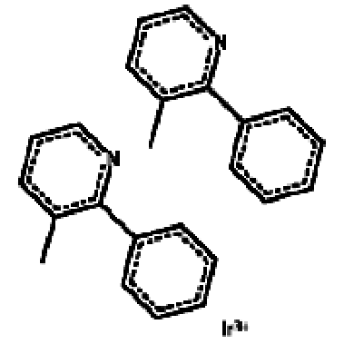 Cc1cccnc1-c1ccccc1.Cc1cccnc1-c1ccccc1.[Ir+3]